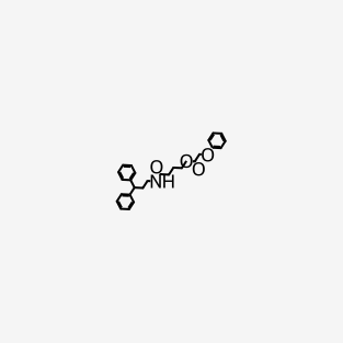 O=C(CCCOC(=O)COc1ccccc1)NCCC(c1ccccc1)c1ccccc1